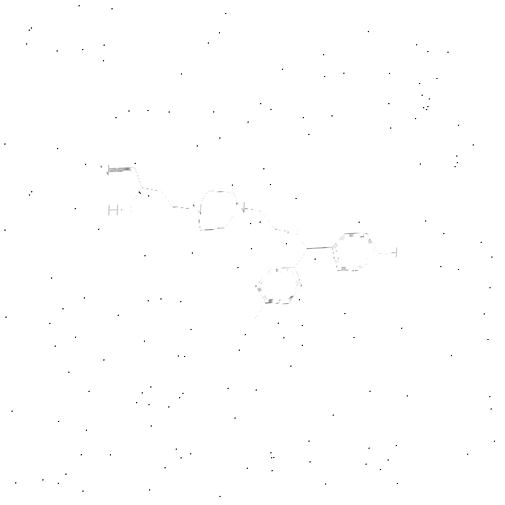 N=CC(O)CCN1CCN(CCOC(c2ccc(F)cc2)c2ccc(F)cc2)CC1